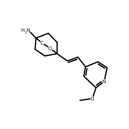 COc1cc(/C=C/C23CCC(N)(CC2)CO3)ccn1